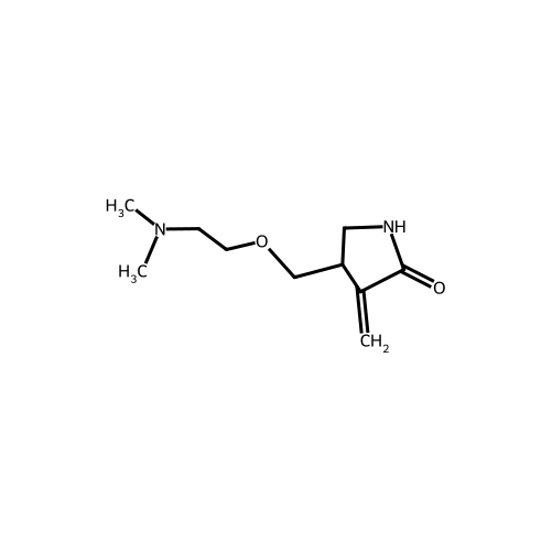 C=C1C(=O)NCC1COCCN(C)C